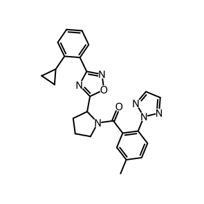 Cc1ccc(-n2nccn2)c(C(=O)N2CCCC2c2nc(-c3ccccc3C3CC3)no2)c1